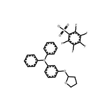 O=S(=O)([O-])c1c(F)c(F)c(F)c(F)c1F.c1ccc([S+](c2ccccc2)c2cccc(OC3CCCO3)c2)cc1